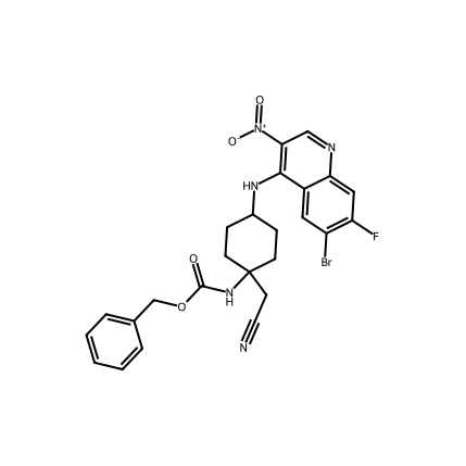 N#CCC1(NC(=O)OCc2ccccc2)CCC(Nc2c([N+](=O)[O-])cnc3cc(F)c(Br)cc23)CC1